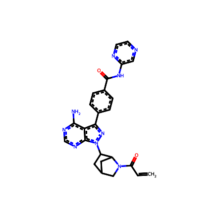 C=CC(=O)N1CC2CC1C(n1nc(-c3ccc(C(=O)Nc4cnccn4)cc3)c3c(N)ncnc31)C2